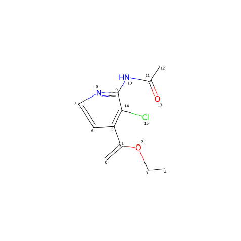 C=C(OCC)c1ccnc(NC(C)=O)c1Cl